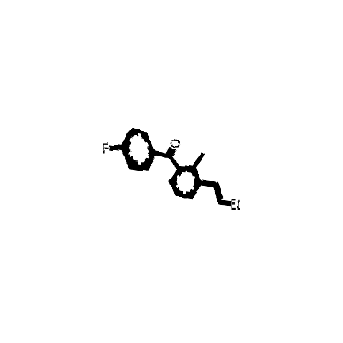 CC/C=C/c1cccc(C(=O)c2ccc(F)cc2)c1C